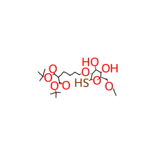 CCOC[C@H]1O[C@@H](S)[C@H](OCCCCC(C(=O)OC(C)(C)C)C(=O)OC(C)(C)C)[C@@H](O)[C@H]1O